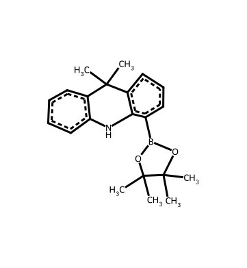 CC1(C)c2ccccc2Nc2c(B3OC(C)(C)C(C)(C)O3)cccc21